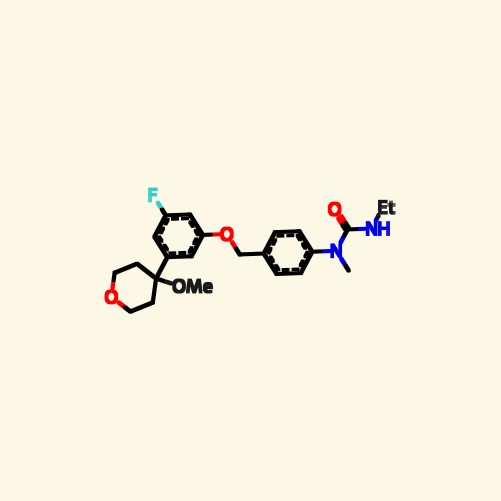 CCNC(=O)N(C)c1ccc(COc2cc(F)cc(C3(OC)CCOCC3)c2)cc1